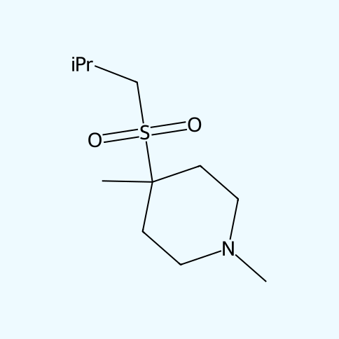 CC(C)CS(=O)(=O)C1(C)CCN(C)CC1